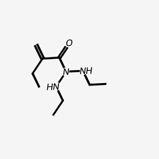 C=C(CC)C(=O)N(NCC)NCC